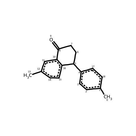 Cc1ccc(C2CCC(=O)c3cc(C)ccc32)cc1